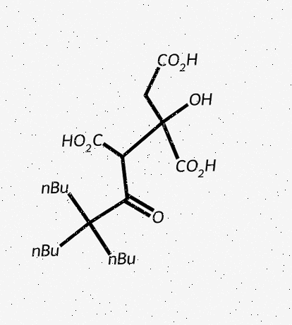 CCCCC(CCCC)(CCCC)C(=O)C(C(=O)O)C(O)(CC(=O)O)C(=O)O